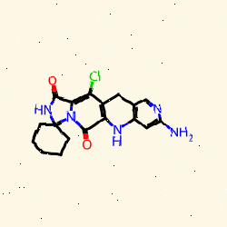 Nc1cc2c(cn1)Cc1c(Cl)c3n(c(=O)c1N2)C1(CCCCC1)NC3=O